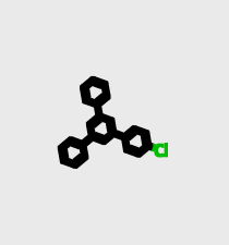 Clc1ccc(-c2cc(-c3ccccc3)cc(-c3ccccc3)c2)cc1